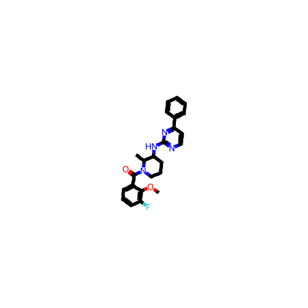 COc1c(F)cccc1C(=O)N1CCCC(Nc2nccc(-c3ccccc3)n2)C1C